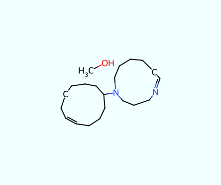 C1=CCCCC(N2CCCCCC=NCCC2)CCCCC1.CO